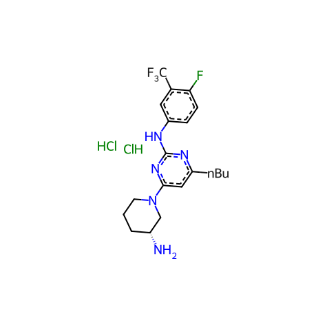 CCCCc1cc(N2CCC[C@@H](N)C2)nc(Nc2ccc(F)c(C(F)(F)F)c2)n1.Cl.Cl